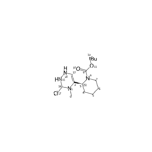 CN1C([C@@H]2CCCCN2C(=O)OC(C)(C)C)=CNNC1Cl